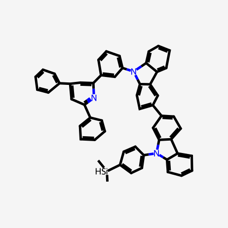 C[SiH](C)c1ccc(-n2c3ccccc3c3ccc(-c4ccc5c(c4)c4ccccc4n5-c4cccc(-c5cc(-c6ccccc6)cc(-c6ccccc6)n5)c4)cc32)cc1